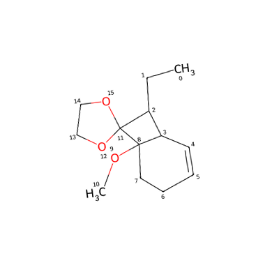 CCC1C2C=CCCC2(OC)C12OCCO2